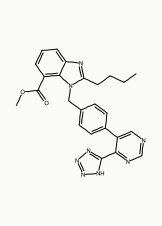 CCCCc1nc2cccc(C(=O)OC)c2n1Cc1ccc(-c2cncnc2-c2nnn[nH]2)cc1